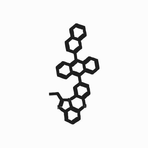 CCc1nc2cccc3c2n1-c1cc(-c2c4ccccc4c(-c4ccc5ccccc5c4)c4ccccc24)ccc1O3